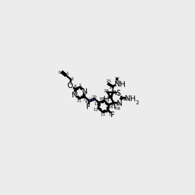 C#CCOc1cnc(/C(F)=C/c2ccc(F)c([C@@]3(C)N=C(N)S[C@@]4(C(=C)NC)C[C@H]43)c2)cn1